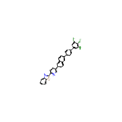 Fc1cc(-c2ccc(-c3ccc4cc(-c5ccc(-c6nc7ccccc7s6)nc5)ccc4c3)cc2)cc(F)c1F